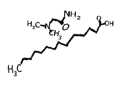 CCCCCCCCCCCCCC(=O)O.CN(C)CC(N)=O